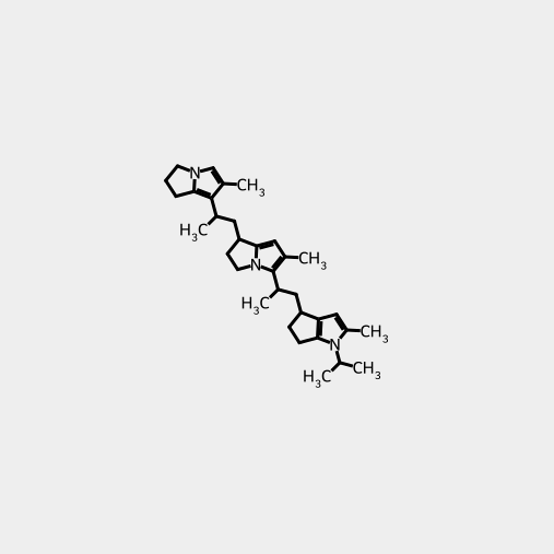 Cc1cn2c(c1C(C)CC1CCn3c1cc(C)c3C(C)CC1CCc3c1cc(C)n3C(C)C)CCC2